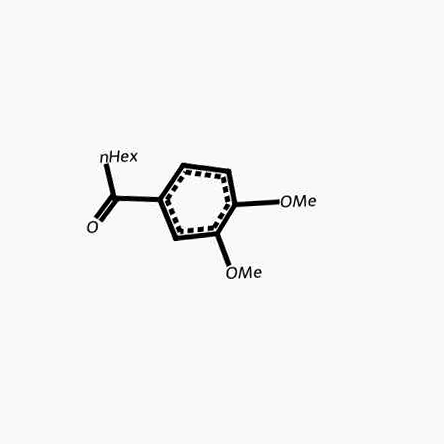 CCCCCCC(=O)c1ccc(OC)c(OC)c1